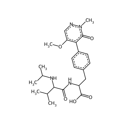 COc1cnn(C)c(=O)c1-c1ccc(CC(NC(=O)C(NC(C)C)C(C)C)C(=O)O)cc1